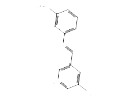 COc1cccc(/N=C/c2cncc(F)c2)c1